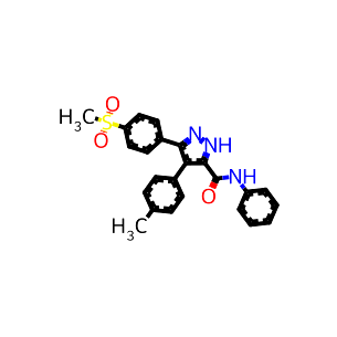 Cc1ccc(-c2c(-c3ccc(S(C)(=O)=O)cc3)n[nH]c2C(=O)Nc2ccccc2)cc1